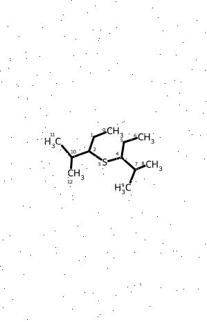 CCC(SC(CC)C(C)C)C(C)C